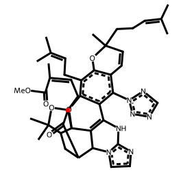 COC(=O)/C(C)=C\CC12OC(C)(C)C3CC(C1=O)C1C4=C(Nc5nccn51)c1c(c(CC=C(C)C)c5c(c1-n1ncnn1)C=CC(C)(CCC=C(C)C)O5)OC432